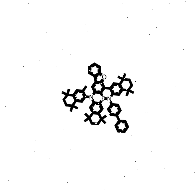 Cc1cc2c(cc1N1c3cc4c(cc3B3c5c1cc1c(oc6ccccc61)c5-c1cc5c(cc1N3c1ccc(-c3ccccc3)cc1)C(C)(C)CCC5(C)C)C(C)(C)CCC4(C)C)C(C)(C)CCC2(C)C